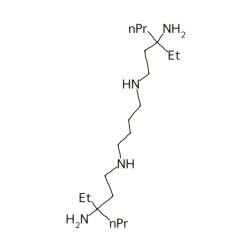 CCCC(N)(CC)CCNCCCCNCCC(N)(CC)CCC